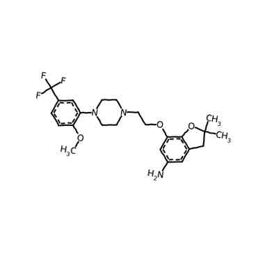 COc1ccc(C(F)(F)F)cc1N1CCN(CCOc2cc(N)cc3c2OC(C)(C)C3)CC1